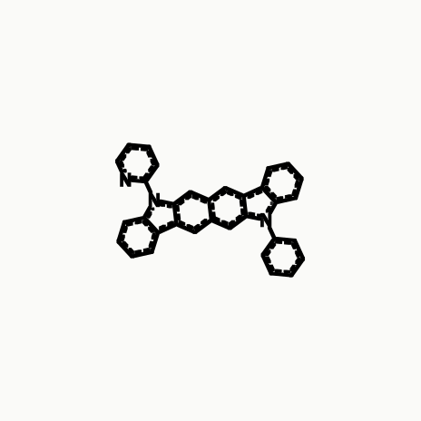 c1ccc(-n2c3ccccc3c3cc4cc5c(cc4cc32)c2ccccc2n5-c2ccccn2)cc1